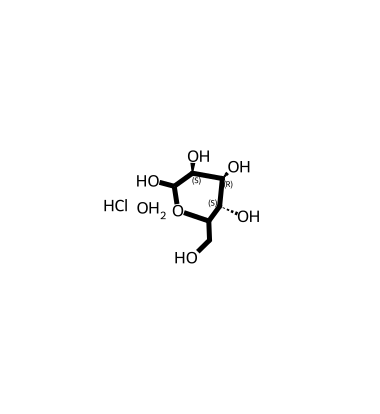 Cl.O.OCC1OC(O)[C@@H](O)[C@H](O)[C@@H]1O